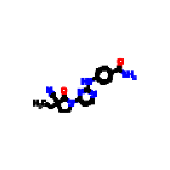 CCC1(C#N)CCN(c2ccnc(Nc3ccc(C(N)=O)cc3)n2)C1=O